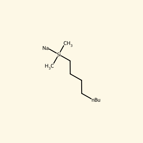 CCCCCCCC[Si](C)(C)[Na]